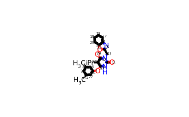 Cc1cc(C)cc(Oc2[nH]c(=O)n(Cc3nc4ccccc4o3)c(=O)c2C(C)C)c1